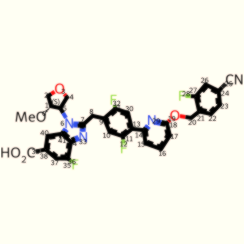 CO[C@@H]1COCC1n1c(Cc2cc(F)c(-c3cccc(OCc4ccc(C#N)cc4F)n3)cc2F)nc2c(F)cc(C(=O)O)cc21